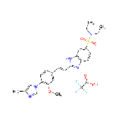 CCN(CC)S(=O)(=O)c1ccc2nc(/C=C/c3ccc(-n4cnc(C)c4)c(OC)c3)[nH]c2c1.O=C(O)C(F)(F)F